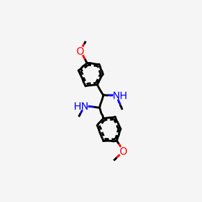 CNC(c1ccc(OC)cc1)C(NC)c1ccc(OC)cc1